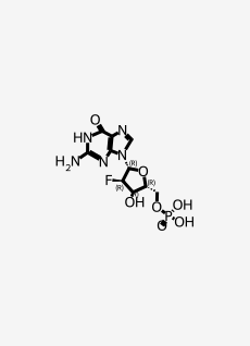 Nc1nc2c(ncn2[C@@H]2O[C@H](COP(=O)(O)O)[C@@H](O)[C@H]2F)c(=O)[nH]1